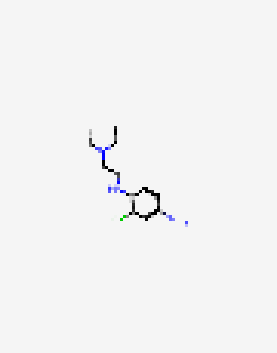 CCN(CC)CCNc1ccc(N)cc1Cl